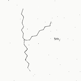 CCCCCCCCP(CCCCCCCC)CCCCCCCC.[SnH2]